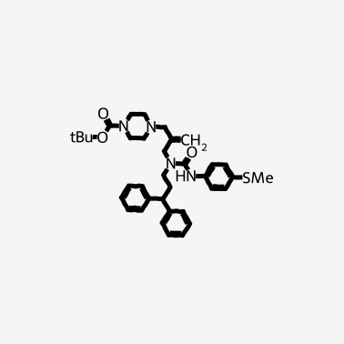 C=C(CN1CCN(C(=O)OC(C)(C)C)CC1)CN(CCC(c1ccccc1)c1ccccc1)C(=O)Nc1ccc(SC)cc1